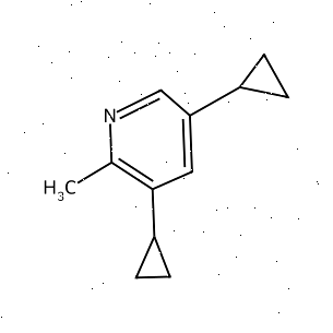 Cc1ncc(C2CC2)cc1C1CC1